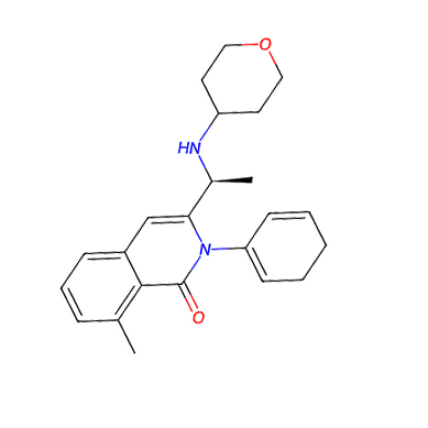 Cc1cccc2cc([C@H](C)NC3CCOCC3)n(C3=CCCC=C3)c(=O)c12